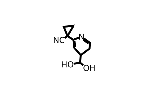 N#CC1(C2=CC(C(O)O)CC=N2)CC1